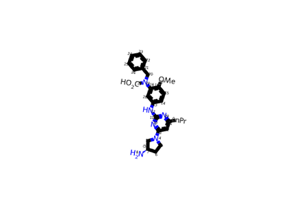 CCCc1cc(N2CC[C@H](N)C2)nc(Nc2ccc(OC)c(N(Cc3ccccc3)C(=O)O)c2)n1